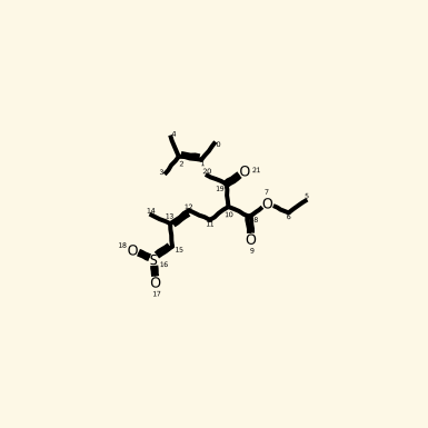 CC=C(C)C.CCOC(=O)C(CC=C(C)C=S(=O)=O)C(C)=O